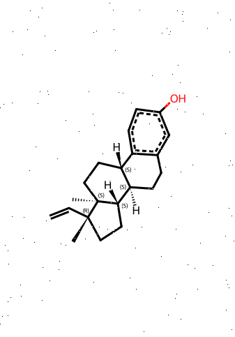 C=C[C@@]1(C)CC[C@H]2[C@@H]3CCc4cc(O)ccc4[C@H]3CC[C@@]21C